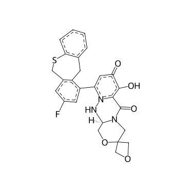 O=C1c2c(O)c(=O)cc(-c3cc(F)cc4c3Cc3ccccc3SC4)n2N[C@@H]2COC3(COC3)CN12